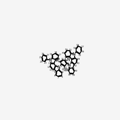 CC(C)(C)c1c(-n2c3ccccc3c3ccc4c(c5ccccc5n4-c4ccccc4)c32)c(C#N)cc(C#N)c1-n1c2ccccc2c2ccc3c(c4ccccc4n3-c3ccccc3)c21